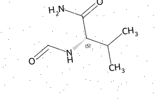 CC(C)[C@H](NC=O)C(N)=O